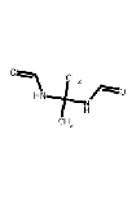 CC(C)(N[C]=O)NC=O